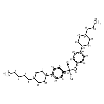 CCCCCC1CCC(c2ccc(C(F)(F)Oc3ccc(C4CCC(CCC)CC4)cc3)cc2)CC1